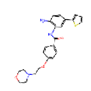 Nc1ccc(-c2cccs2)cc1NC(=O)c1ccc(OCCN2CCOCC2)cc1